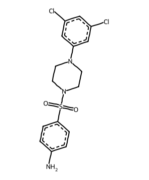 Nc1ccc(S(=O)(=O)N2CCN(c3cc(Cl)cc(Cl)c3)CC2)cc1